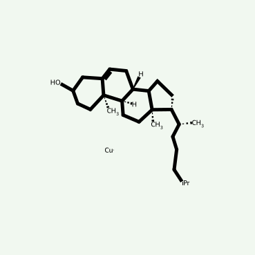 CC(C)CCC[C@@H](C)[C@H]1CCC2[C@H]3CC=C4CC(O)CC[C@]4(C)[C@@H]3CC[C@@]21C.[Cu]